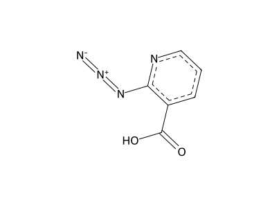 [N-]=[N+]=Nc1ncccc1C(=O)O